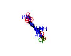 O=C1CCC(N2C(=O)c3ccc(N4CCC5(CC4)CC(N4CCN(c6ncc(C(=O)Nc7ccc(OC(F)(F)Cl)cc7)cc6-c6ccn[nH]6)CC4)C5)cc3C2=O)C(=O)N1